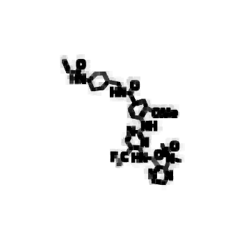 C=CC(=O)NC1CCC(CNC(=O)c2ccc(Nc3ncc(C(F)(F)F)c(NCc4nccnc4N(C)S(C)(=O)=O)n3)c(OC)c2)CC1